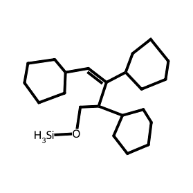 [SiH3]OCC(C(=CC1CCCCC1)C1CCCCC1)C1CCCCC1